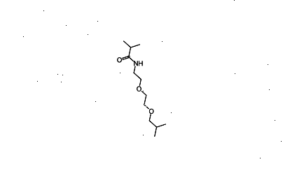 CC(C)COCCOCCNC(=O)C(C)C